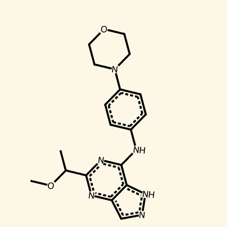 COC(C)c1nc(Nc2ccc(N3CCOCC3)cc2)c2[nH]ncc2n1